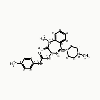 Cc1ccc(NC(=O)N[C@@H]2N=C(N3CCN(C)CC3)c3ccccc3N(C)C2=O)cc1